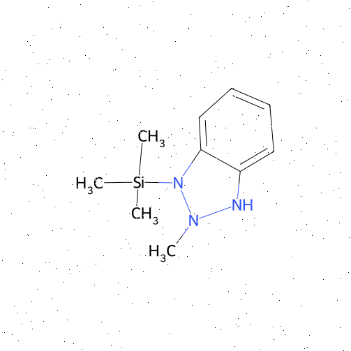 CN1Nc2ccccc2N1[Si](C)(C)C